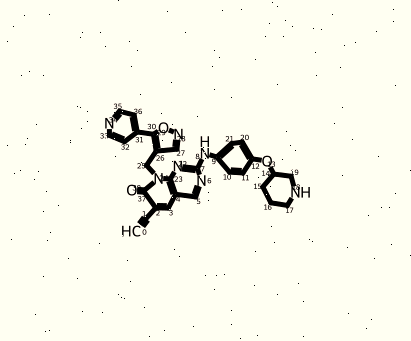 C#Cc1cc2cnc(Nc3ccc(OC4CCCNC4)cc3)nc2n(Cc2cnoc2-c2ccncc2)c1=O